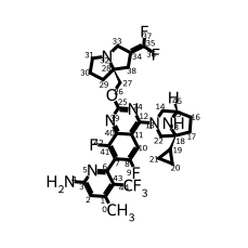 Cc1cc(N)nc(-c2c(F)cc3c(N4C[C@@H]5CC[C@](C6CC6)(C4)N5)nc(OC[C@@]45CCCN4CC(=C(F)F)C5)nc3c2F)c1C(F)(F)F